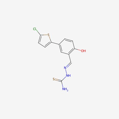 NC(=S)NN=Cc1cc(-c2ccc(Cl)s2)ccc1O